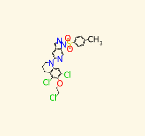 Cc1ccc(S(=O)(=O)n2ncc3cc(N4CCCc5c4cc(Cl)c(OCCCl)c5Cl)ncc32)cc1